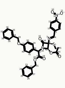 CS[C@]1(N=Cc2ccc([N+](=O)[O-])cc2)C(=O)N(C(C(=O)OCc2ccccc2)c2ccc(OCc3ccccc3)cc2)[C@@H]1OC(C)=O